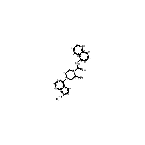 CC(C)C1CN(c2ncnc3c2ccn3C)CCN1C(=S)Nc1cccc2ncccc12